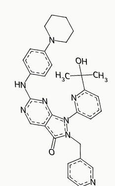 CC(C)(O)c1cccc(-n2c3nc(Nc4ccc(N5CCCCC5)cc4)ncc3c(=O)n2Cc2cccnc2)n1